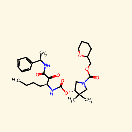 CCCC[C@H](NC(=O)O[C@@H]1CN(C(=O)OCC2CCCCO2)CC1(C)C)C(=O)C(=O)N[C@H](C)c1ccccc1